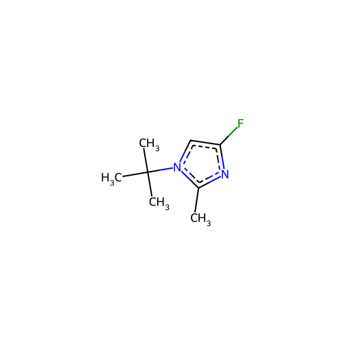 Cc1nc(F)cn1C(C)(C)C